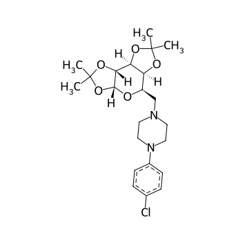 CC1(C)O[C@H]2[C@@H](O1)[C@@H](CN1CCN(c3ccc(Cl)cc3)CC1)O[C@@H]1OC(C)(C)O[C@@H]12